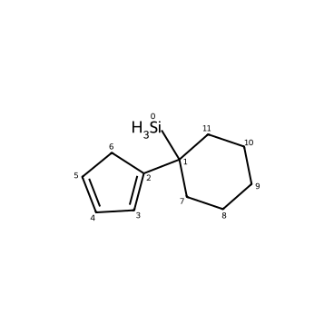 [SiH3]C1(C2=CC=CC2)CCCCC1